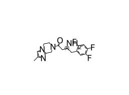 Cc1cn2c(n1)CN(C(=O)C[C@H](N)Cc1cc(F)c(F)cc1F)CC2